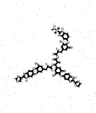 CNS(=O)(=O)c1nc2cc(Oc3c(Br)cc(CC(F)C(=O)OC(=O)C(F)C(OC(=O)C(F)Cc4cc(Br)c(Oc5ccc6[nH]c(-c7cocn7)nc6c5)c(Br)c4)c4cc(Br)c(Oc5ccc6[nH]c(-c7ncco7)nc6c5)c(Br)c4)cc3Br)ccc2[nH]1